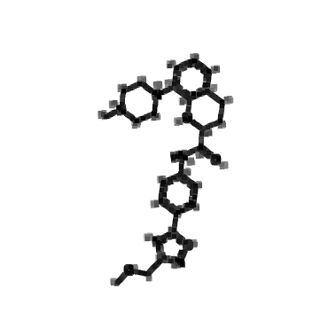 COCc1noc(-c2ccc(NC(=O)C3CCc4cccc(N5CCN(C)CC5)c4O3)cc2)n1